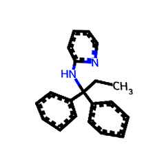 CCC(Nc1ccccn1)(c1ccccc1)c1ccccc1